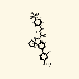 Cc1cc(C(=O)O)ccc1-c1ccc2c(n1)C1(CCCC1)CN2C(=O)NCc1ccc(S(C)(=O)=O)cc1